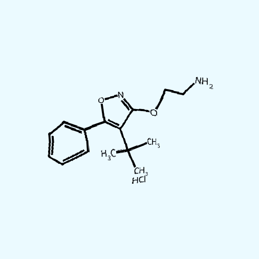 CC(C)(C)c1c(OCCN)noc1-c1ccccc1.Cl